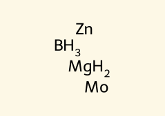 B.[MgH2].[Mo].[Zn]